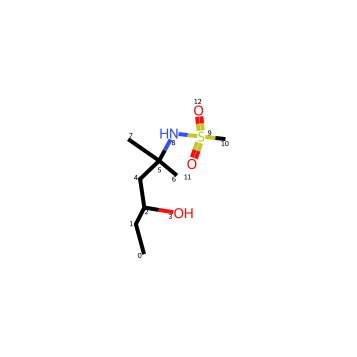 CCC(O)CC(C)(C)NS(C)(=O)=O